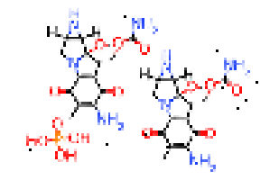 CO[C@@]12[C@H](COC(N)=O)C3=C(C(=O)C(C)=C(N)C3=O)N1C[C@@H]1N[C@@H]12.CO[C@@]12[C@H](COC(N)=O)C3=C(C(=O)C(C)=C(N)C3=O)N1C[C@@H]1N[C@@H]12.O=P(O)(O)O